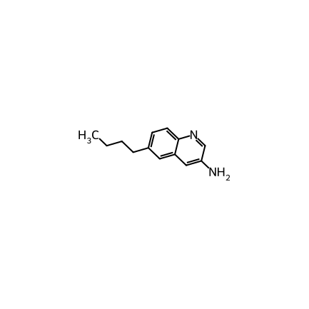 CCCCc1ccc2ncc(N)cc2c1